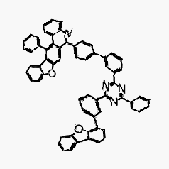 c1ccc(-c2nc(-c3cccc(-c4ccc(-c5nc6ccccc6c6c(-c7ccccc7)c7c(cc56)oc5ccccc57)cc4)c3)nc(-c3cccc(-c4cccc5c4oc4ccccc45)c3)n2)cc1